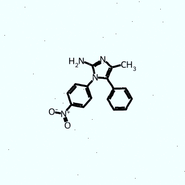 Cc1nc(N)n(-c2ccc([N+](=O)[O-])cc2)c1-c1ccccc1